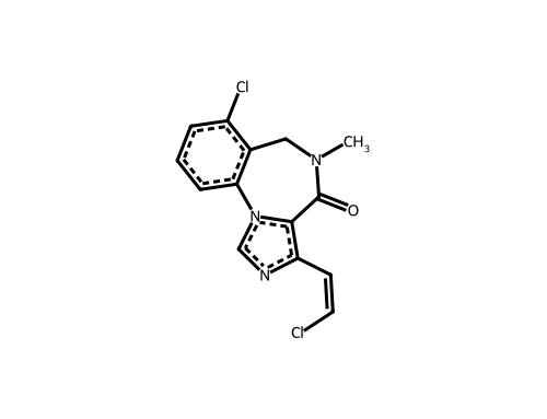 CN1Cc2c(Cl)cccc2-n2cnc(/C=C\Cl)c2C1=O